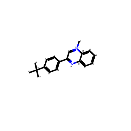 C[n+]1cc(-c2ccc(C(C)(C)C)cc2)nc2ccccc21